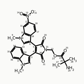 Cn1cc(C2=C(c3cn(C)c4cc([N+](=O)[O-])ccc34)C(=O)N(COC(=O)C(C)(C)N)C2=O)c2ccccc21